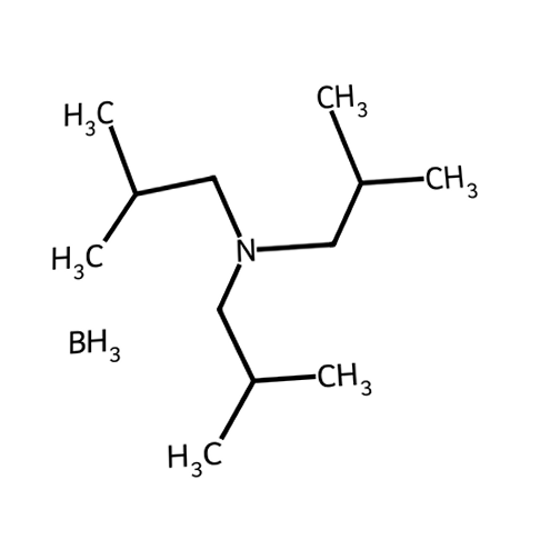 B.CC(C)CN(CC(C)C)CC(C)C